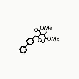 COC(=O)C(C(=O)Cc1ccc(-c2ccccc2)cc1)[C@@H](C)C(=O)OC